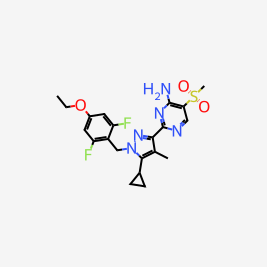 CCOc1cc(F)c(Cn2nc(-c3ncc(S(C)(=O)=O)c(N)n3)c(C)c2C2CC2)c(F)c1